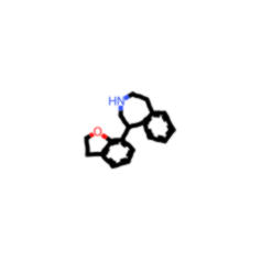 c1ccc2c(c1)CCNCC2c1cccc2c1OCC2